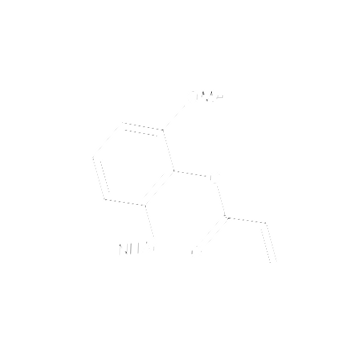 C=CC(=O)Oc1c(NC(C)=O)cccc1OC